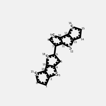 c1cc2sc3cc(-c4csc5c4sc4ccsc45)sc3c2s1